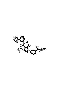 COC(=O)c1cccc(N2N=C(C)C(C(=O)Nc3cccc(-c4cnccn4)c3)C2=O)c1